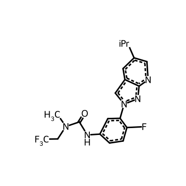 CC(C)c1cnc2nn(-c3cc(NC(=O)N(C)CC(F)(F)F)ccc3F)cc2c1